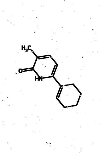 Cc1ccc(C2=CCCCC2)[nH]c1=O